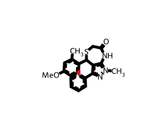 COc1ccc(C2SCC(=O)Nc3c2c(-c2ccccn2)nn3C)c(C)c1